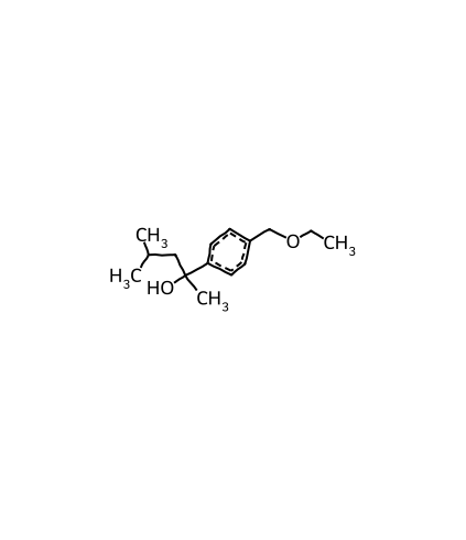 CCOCc1ccc(C(C)(O)CC(C)C)cc1